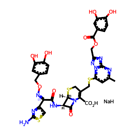 Cc1cc(SCC2=C(C(=O)O)N3C(=O)[C@@H](NC(=O)/C(=N\OCc4ccc(O)c(O)c4)c4csc(N)n4)[C@H]3SC2)n2nc(COC(=O)c3ccc(O)c(O)c3)nc2n1.[NaH]